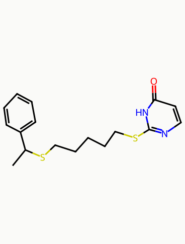 CC(SCCCCCSc1nccc(=O)[nH]1)c1ccccc1